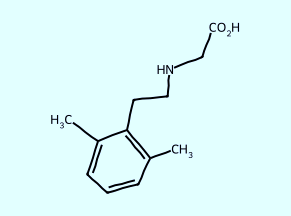 Cc1cccc(C)c1CCNCC(=O)O